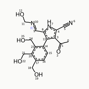 CC(=O)c1c(C#N)[nH]c(/C=N/CO)c1-c1ccc(CO)c(CO)c1CO